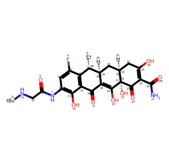 CC[C@H]1c2c(F)cc(NC(=O)CNC(C)(C)C)c(O)c2C(=O)C2=C(O)[C@]3(O)C(=O)C(C(N)=O)=C(O)C[C@@H]3C[C@@H]21